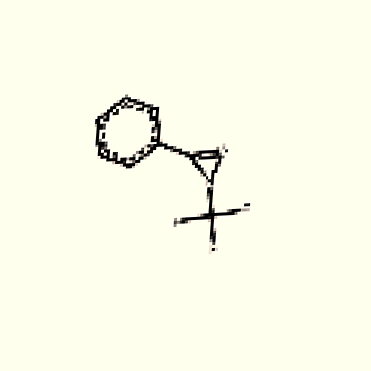 FC(F)(F)N1N=C1c1[c]cccc1